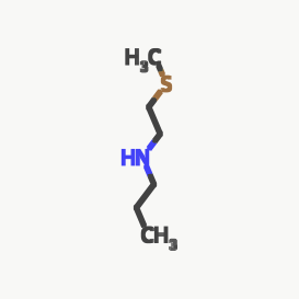 CCCNCCSC